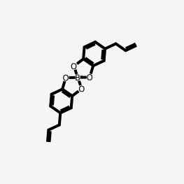 C=CCc1ccc2c(c1)O[B-]1(O2)Oc2ccc(CC=C)cc2O1